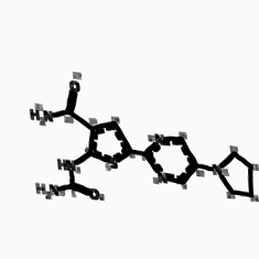 NC(=O)Nc1sc(-c2ncc(N3CCCC3)cn2)cc1C(N)=O